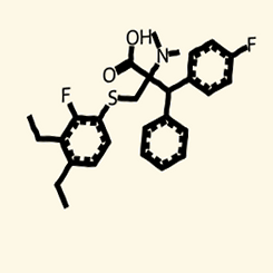 CCc1ccc(SCC(C(=O)O)(C(c2ccccc2)c2ccc(F)cc2)N(C)C)c(F)c1CC